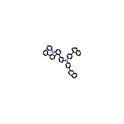 c1ccc(-c2cccc3c4c(-c5cccc(N(c6ccc(-c7ccc8ccccc8c7)cc6)c6ccc(-c7cccc8ccccc78)cc6)c5)cccc4n(-c4ccccc4)c23)cc1